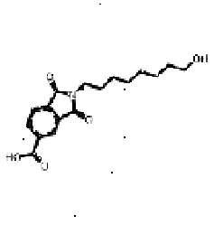 O=C(O)c1ccc2c(c1)C(=O)N(CCCCCCCCO)C2=O